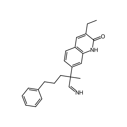 CCc1cc2ccc(C(C)(C=N)CCCc3ccccc3)cc2[nH]c1=O